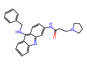 O=C(CCN1CCCC1)Nc1ccc2c(NCc3ccccc3)c3ccccc3nc2c1